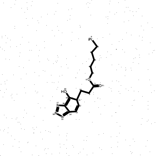 CC(C)CCCCCOC(=O)CCC1C=CC2=NN=NC2=C1O